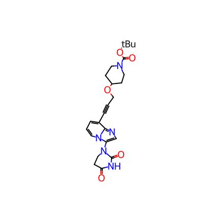 CC(C)(C)OC(=O)N1CCC(OCC#Cc2cccn3c(N4CCC(=O)NC4=O)cnc23)CC1